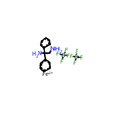 F[B-](F)(F)F.F[B-](F)(F)F.NCC(N)(c1ccccc1)c1ccccc1.[Fe+2]